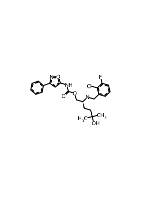 CC(C)(O)CC[C@@H](COC(=O)Nc1cc(-c2ccccc2)no1)[N]Cc1cccc(F)c1Cl